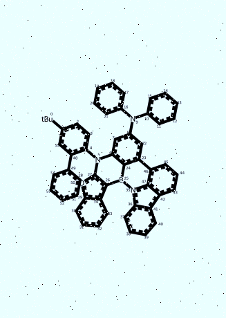 CC(C)(C)c1ccc(N2c3cc(N(c4ccccc4)c4ccccc4)cc4c3B(c3c2oc2ccccc32)n2c3ccccc3c3cccc-4c32)c(-c2ccccc2)c1